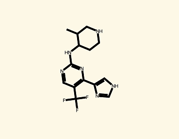 CC1CNCCC1Nc1ncc(C(F)(F)F)c(-c2c[nH]cn2)n1